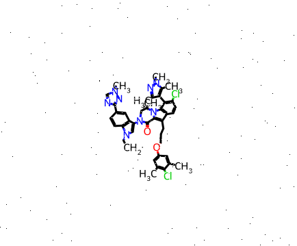 [CH2]Cn1cc(N2C[C@@H](C)n3c(c(CCCOc4cc(C)c(Cl)c(C)c4)c4ccc(Cl)c(-c5c(C)nn(C)c5C)c43)C2=O)c2cc(-c3ncn(C)n3)ccc21